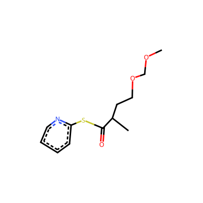 COCOCCC(C)C(=O)Sc1ccccn1